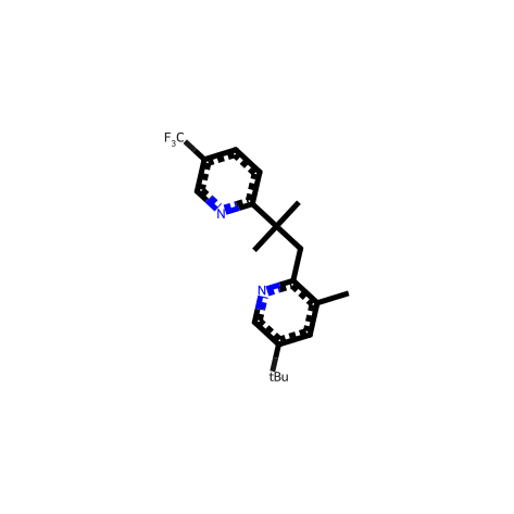 Cc1cc(C(C)(C)C)cnc1CC(C)(C)c1ccc(C(F)(F)F)cn1